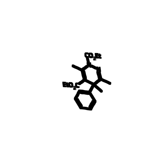 CCOC(=O)C1=C(C)N(C(=O)OCC)N=C(C)C1(C)c1ccccc1